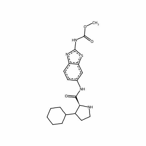 COC(=O)Nc1nc2ccc(NC(=O)[C@H]3NCCC3C3CCCCC3)cc2s1